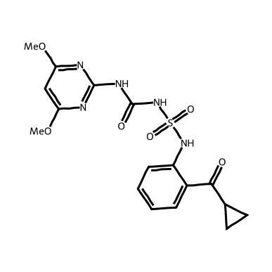 COc1cc(OC)nc(NC(=O)NS(=O)(=O)Nc2ccccc2C(=O)C2CC2)n1